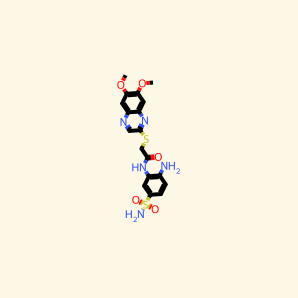 COc1cc2ncc(SCC(=O)Nc3cc(S(N)(=O)=O)ccc3N)nc2cc1OC